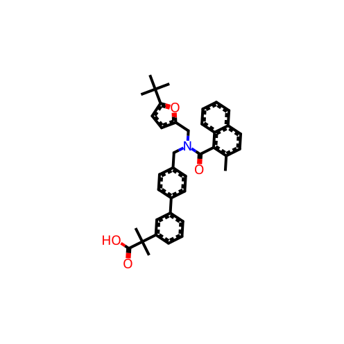 Cc1ccc2ccccc2c1C(=O)N(Cc1ccc(-c2cccc(C(C)(C)C(=O)O)c2)cc1)Cc1ccc(C(C)(C)C)o1